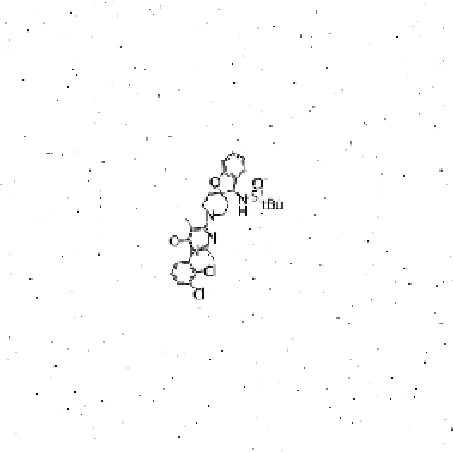 Cc1c(N2CCC3(CC2)Oc2ccccc2[C@H]3N[S@+]([O-])C(C)(C)C)nc(C)n(-c2cccc(Cl)c2Cl)c1=O